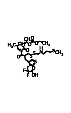 CCOC(=O)OC(C)OC(=O)N(CC(C)O)C(=O)C(CSSCNCCCSC)Cc1ccsc1.O=C(O)C(F)(F)F